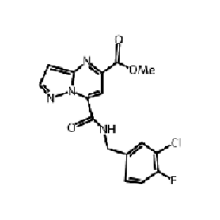 COC(=O)c1cc(C(=O)NCc2ccc(F)c(Cl)c2)n2nccc2n1